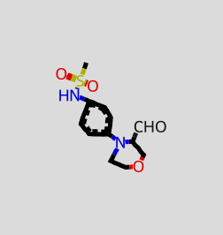 CS(=O)(=O)Nc1ccc(N2CCOCC2C=O)cc1